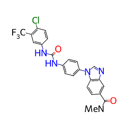 CNC(=O)c1ccc2c(c1)ncn2-c1ccc(NC(=O)Nc2ccc(Cl)c(C(F)(F)F)c2)cc1